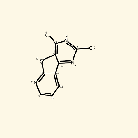 Clc1nc(Cl)c2sc3ncccc3c2n1